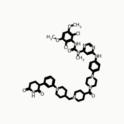 COc1cc(OC)c(Cl)c(NC(=O)N(C)c2cc(Nc3ccc(N4CCN(C(=O)C5CCN(CC6CCN(c7cccc(C8CCC(=O)NC8=O)c7)CC6)CC5)CC4)cc3)ncn2)c1Cl